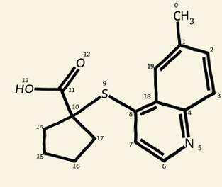 Cc1ccc2nccc(SC3(C(=O)O)CCCC3)c2c1